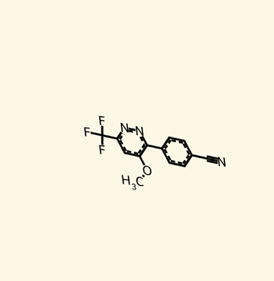 COc1cc(C(F)(F)F)nnc1-c1ccc(C#N)cc1